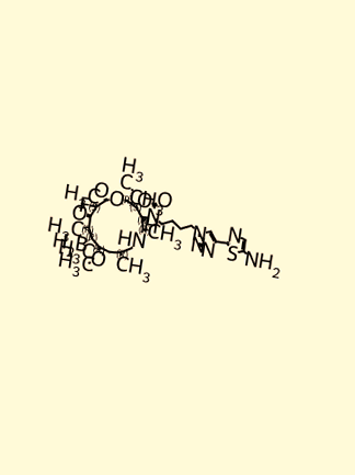 B[C@@H]1[C@@H](C)C(=O)[C@](C)(F)C(=O)O[C@H](CC)[C@@]2(C)OC(=O)N(CCCCn3cc(-c4ncc(N)s4)nn3)[C@@H]2[C@@H](C)NC[C@H](C)C[C@@]1(C)OC